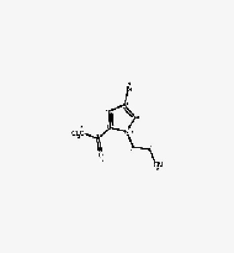 N#CCCn1cc(Br)cc1C(=O)C(Cl)(Cl)Cl